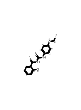 O=C(NC(=O)c1ccccc1Cl)Nc1ccc(OCF)cc1